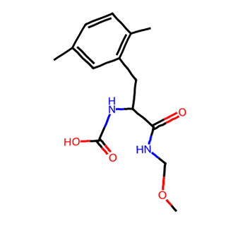 COCNC(=O)C(Cc1cc(C)ccc1C)NC(=O)O